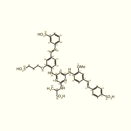 COc1cc(N=Nc2ccc(S(=O)(=O)O)cc2)ccc1Nc1nc(Nc2ccc(N=Nc3cccc(S(=O)(=O)O)c3)cc2OCCCS(=O)(=O)O)nc(NC(C)S(=O)(=O)O)n1